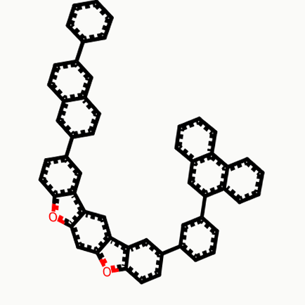 c1ccc(-c2ccc3cc(-c4ccc5oc6cc7oc8ccc(-c9cccc(-c%10cc%11ccccc%11c%11ccccc%10%11)c9)cc8c7cc6c5c4)ccc3c2)cc1